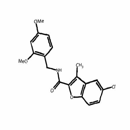 COc1ccc(CNC(=O)c2oc3ccc(Cl)cc3c2C)c(OC)c1